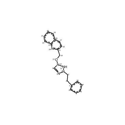 C1=NN(CCc2ccccc2)NN1OCc1ccc2ccccc2n1